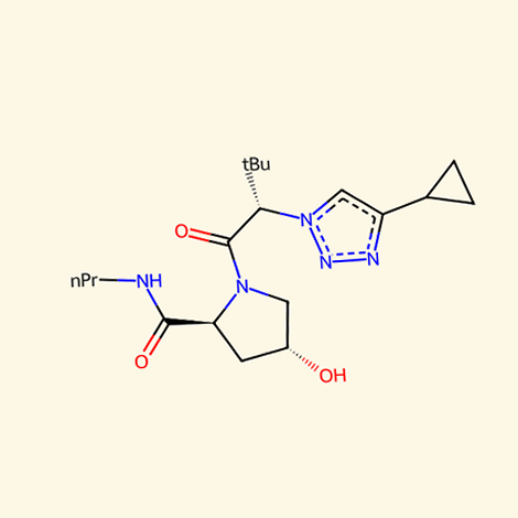 CCCNC(=O)[C@@H]1C[C@@H](O)CN1C(=O)[C@@H](n1cc(C2CC2)nn1)C(C)(C)C